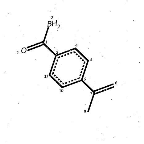 BC(=O)c1ccc(C(=C)C)cc1